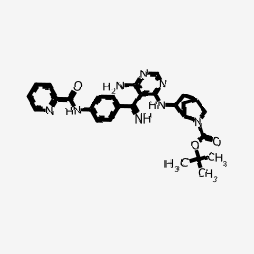 CC(C)(C)OC(=O)N1CC2CC(Nc3ncnc(N)c3C(=N)c3ccc(NC(=O)c4ccccn4)cc3)C1C2